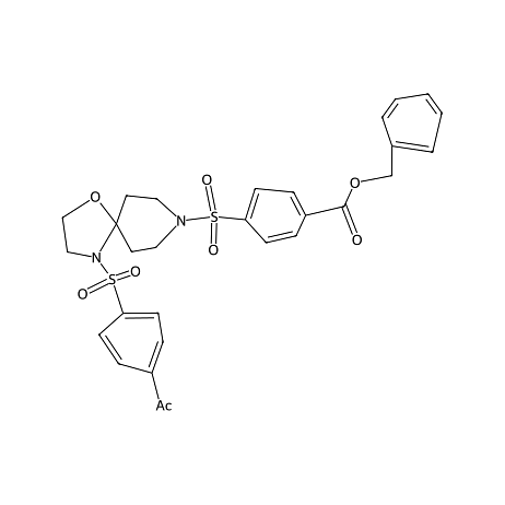 CC(=O)c1ccc(S(=O)(=O)N2CCOC23CCN(S(=O)(=O)c2ccc(C(=O)OCc4ccccc4)cc2)CC3)cc1